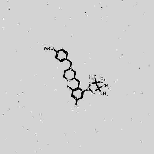 COc1ccc(CN2CCOC(Cc3c(F)cc(Cl)cc3B3OC(C)(C)C(C)(C)O3)C2)cc1